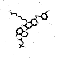 Cc1cccc2c1N(C(=O)OC(C)(C)C)CCN2c1cc2cnc(Nc3cccc(O)c3)nc2n(CCCOCCO)c1=O